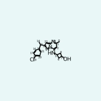 Cc1cc(NC2CC(O)C2)n2nc(C(C)c3ccc(Cl)cc3)cc2n1